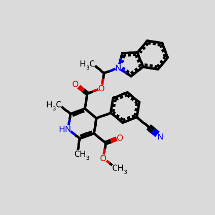 COC(=O)C1=C(C)NC(C)=C(C(=O)OC(C)n2cc3ccccc3c2)C1c1cccc(C#N)c1